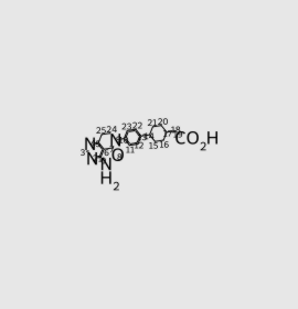 Nc1ncnc2c1C(=O)N(c1ccc(C3CCC(CC(=O)O)CC3)cc1)CC2